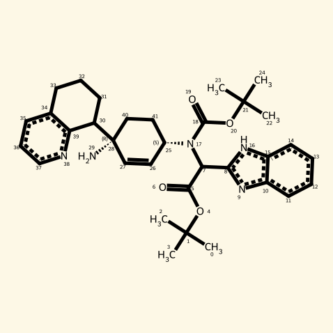 CC(C)(C)OC(=O)C(c1nc2ccccc2[nH]1)N(C(=O)OC(C)(C)C)[C@@H]1C=C[C@@](N)(C2CCCc3cccnc32)CC1